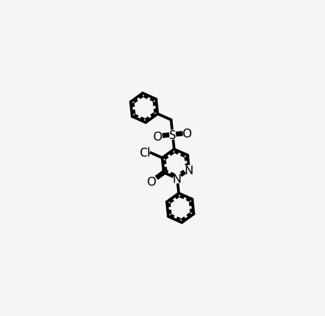 O=c1c(Cl)c(S(=O)(=O)Cc2ccccc2)cnn1-c1ccccc1